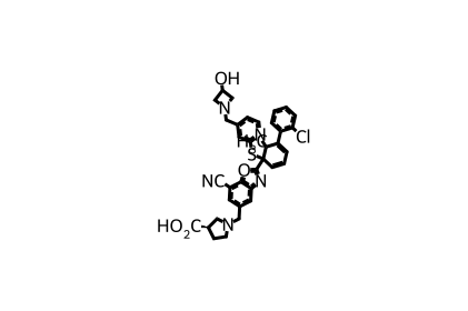 CC1C(c2ccccc2Cl)=CC=CC1(Sc1cc(CN2CC(O)C2)ccn1)c1nc2cc(CN3CC[C@@H](C(=O)O)C3)cc(C#N)c2o1